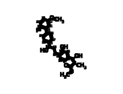 COC(=O)[C@@H](C)[C@@H](O)c1ccc(CC[C@@H](O)c2ccc(-c3cc(OC)ccc3F)cc2)c(O)c1